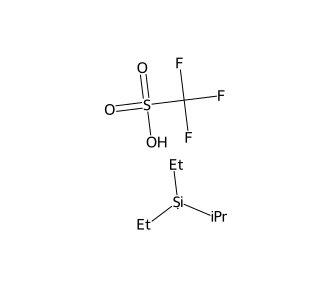 CC[Si](CC)C(C)C.O=S(=O)(O)C(F)(F)F